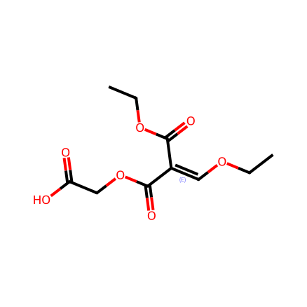 CCO/C=C(\C(=O)OCC)C(=O)OCC(=O)O